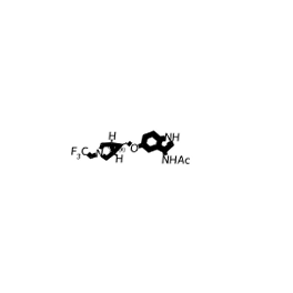 CC(=O)Nc1c[nH]c2ccc(OC[C@@H]3[C@H]4CN(CC(F)(F)F)C[C@@H]34)cc12